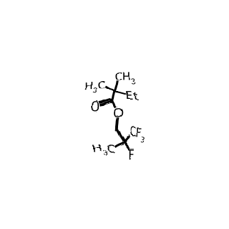 CCC(C)(C)C(=O)OCC(C)(F)C(F)(F)F